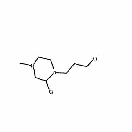 CN1CCN(CCCCl)C(Cl)C1